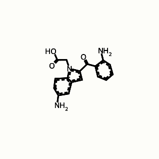 Nc1ccc2c(c1)cc(C(=O)c1ccccc1N)n2CC(=O)O